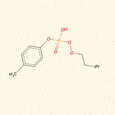 Cc1ccc(OP(=O)(O)OOCCC(C)C)cc1